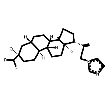 C=C(Cn1ccnc1)[C@H]1CC[C@H]2[C@@H]3CC[C@H]4C[C@](O)(C(F)F)CC[C@@H]4[C@H]3CC[C@]12C